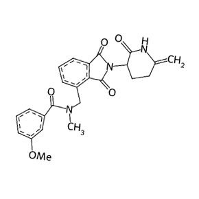 C=C1CCC(N2C(=O)c3cccc(CN(C)C(=O)c4cccc(OC)c4)c3C2=O)C(=O)N1